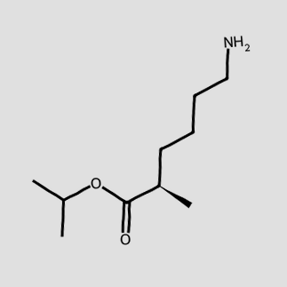 CC(C)OC(=O)[C@H](C)CCCCN